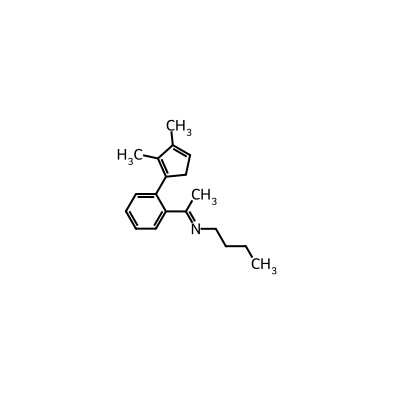 CCCC/N=C(\C)c1ccccc1C1=C(C)C(C)=CC1